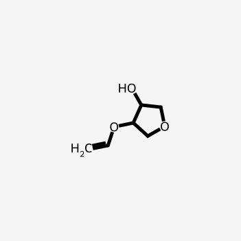 C=COC1COCC1O